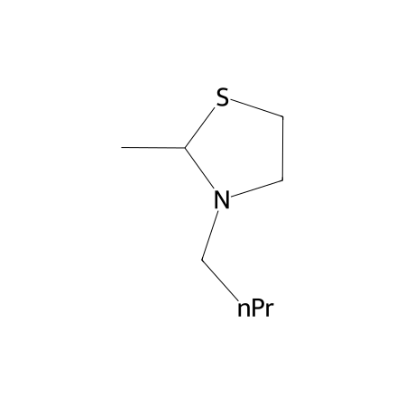 CCCCN1CCSC1C